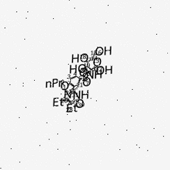 CCCOc1ccc(S(=O)(=O)NC2C(O)OC(CO)C(O)C2O)cc1-c1nc(CC)c(CC)c(=O)[nH]1